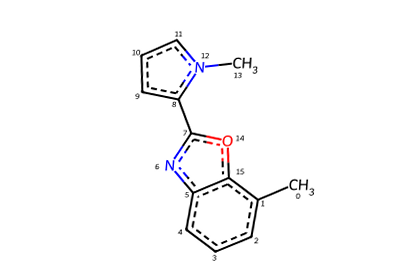 Cc1cccc2nc(-c3cccn3C)oc12